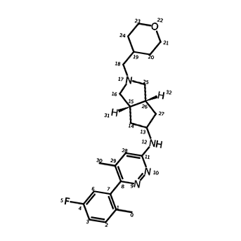 Cc1ccc(F)cc1-c1nnc(NC2C[C@@H]3CN(CC4CCOCC4)C[C@@H]3C2)cc1C